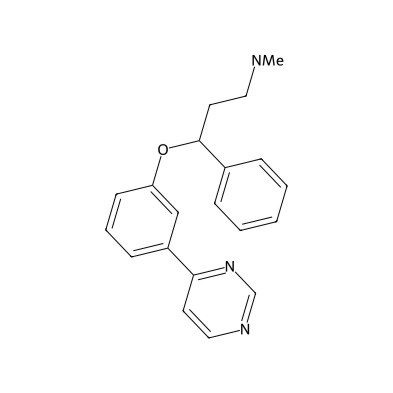 CNCCC(Oc1cccc(-c2ccncn2)c1)c1ccccc1